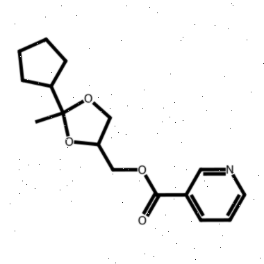 CC1(C2CCCC2)OCC(COC(=O)c2cccnc2)O1